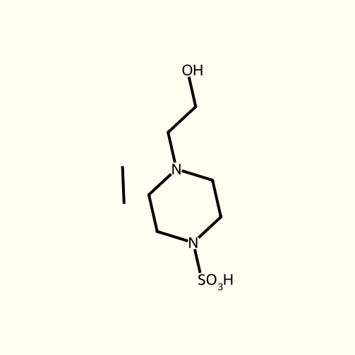 CC.O=S(=O)(O)N1CCN(CCO)CC1